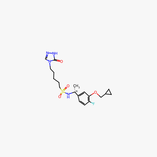 C[C@@H](NS(=O)(=O)CCCCCn1cn[nH]c1=O)c1ccc(F)c(OCC2CC2)c1